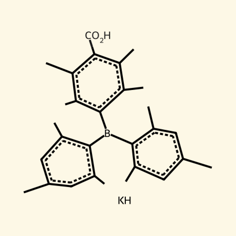 Cc1cc(C)c(B(c2c(C)cc(C)cc2C)c2c(C)c(C)c(C(=O)O)c(C)c2C)c(C)c1.[KH]